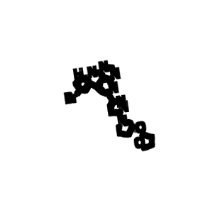 Nc1ncnc2nc(-c3ccc(N4CCC[C@@H](OC5CCCO5)C4)nn3)cc(-c3cccc(Br)c3)c12